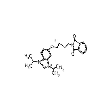 CC(C)n1c[n+](C(C)C)c2cc(OCCCCN3C(=O)c4ccccc4C3=O)ccc21.[I-]